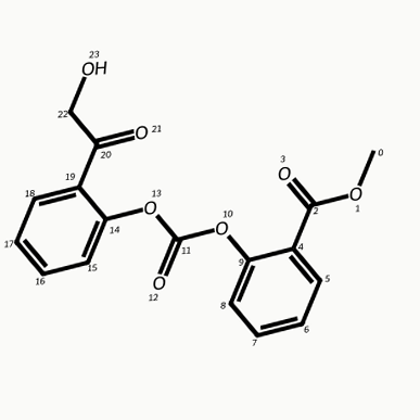 COC(=O)c1ccccc1OC(=O)Oc1ccccc1C(=O)CO